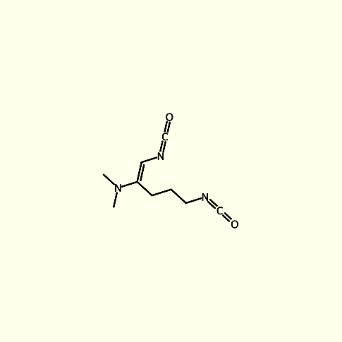 CN(C)C(=CN=C=O)CCCN=C=O